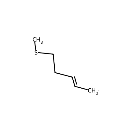 [CH2]/C=C/CCSC